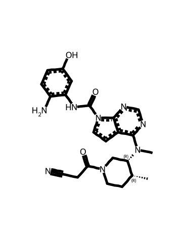 C[C@@H]1CCN(C(=O)CC#N)C[C@@H]1N(C)c1ncnc2c1ccn2C(=O)Nc1cc(O)ccc1N